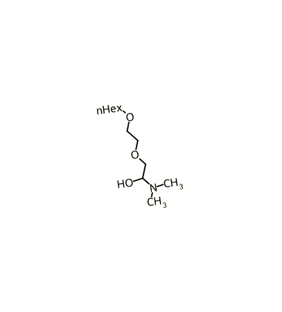 CCCCCCOCCOCC(O)N(C)C